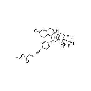 CCOC(=O)C=CC#Cc1ccc([C@H]2C[C@@]3(C)[C@@H](CC[C@@]3(O)C(F)(F)C(F)(F)F)[C@@H]3CCC4=CC(=O)CCC4=C32)cc1